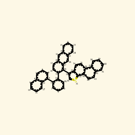 c1ccc(-c2cccc3ccccc23)c(-c2ccc3cc4ccccc4cc3c2-c2csc3c2ccc2c4ccccc4ccc23)c1